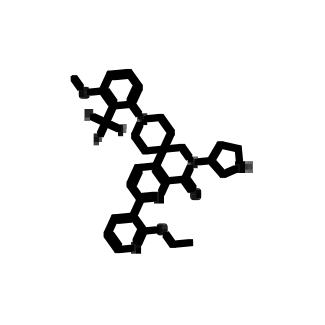 CCOc1ncccc1-c1ccc2c(n1)C(=O)N(C1CCNC1)CC21CCN(c2cccc(OC)c2C(F)(F)F)CC1